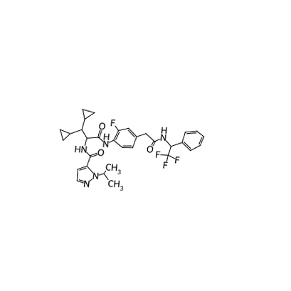 CC(C)n1nccc1C(=O)NC(C(=O)Nc1ccc(CC(=O)NC(c2ccccc2)C(F)(F)F)cc1F)C(C1CC1)C1CC1